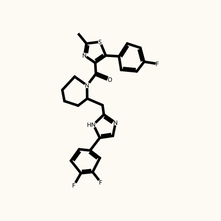 Cc1nc(C(=O)N2CCCCC2Cc2ncc(-c3ccc(F)c(F)c3)[nH]2)c(-c2ccc(F)cc2)s1